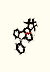 CC1(C)c2cc(-c3ccccc3N(c3ccccc3)c3ccccc3)cc(F)c2C(C)(C)C1(C)C